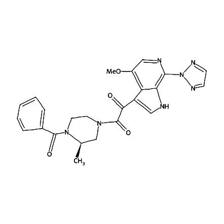 COc1cnc(-n2nccn2)c2[nH]cc(C(=O)C(=O)N3CCN(C(=O)c4ccccc4)[C@H](C)C3)c12